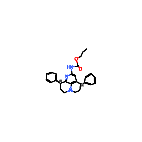 CCCOC(=O)Nc1cc2c3c(n1)[C@H](c1ccccc1)CCN3CC[C@H]2c1ccccc1